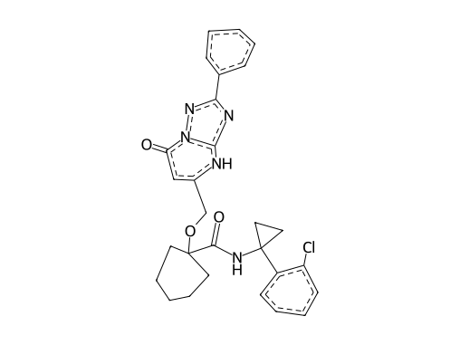 O=C(NC1(c2ccccc2Cl)CC1)C1(OCc2cc(=O)n3nc(-c4ccccc4)nc3[nH]2)CCCCC1